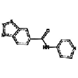 O=C(Nc1ccncc1)c1ccc2n[c]sc2c1